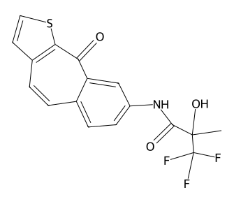 CC(O)(C(=O)Nc1ccc2ccc3ccsc3c(=O)c2c1)C(F)(F)F